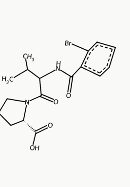 CC(C)C(NC(=O)c1ccccc1Br)C(=O)N1CCC[C@H]1C(=O)O